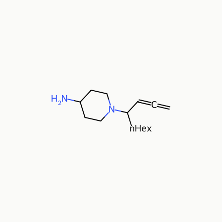 C=C=CC(CCCCCC)N1CCC(N)CC1